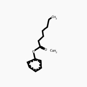 CCCCCCC(=O)Oc1ccccc1.[CaH2]